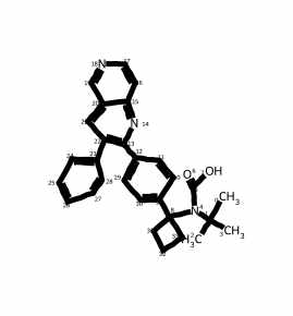 CC(C)(C)N(C(=O)O)C1(c2ccc(-c3nc4ccncc4cc3-c3ccccc3)cc2)CCC1